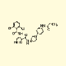 C=CC(=O)Nc1ccc(N2CC[C@H](NC(=O)c3n[nH]cc3NC(=O)c3c(Cl)cccc3Cl)C2)cc1